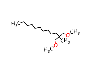 CCCCCCCCCCC(C)(COC)COC